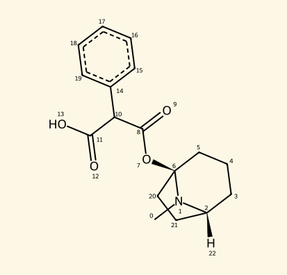 CN1[C@@H]2CCC[C@@]1(OC(=O)C(C(=O)O)c1ccccc1)CC2